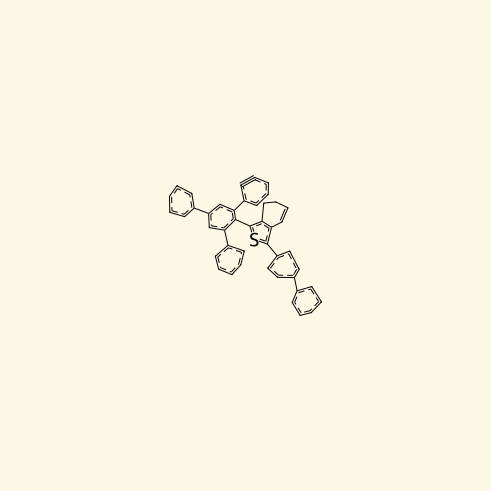 c1cccc(-c2cc(-c3ccccc3)cc(-c3ccccc3)c2-c2sc(-c3ccc(-c4ccccc4)cc3)c3c2CCC=C3)c#1